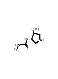 CCNC(=O)N[C@H]1CNC[C@@H]1OC